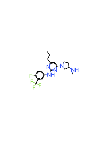 CCCc1cc(N2CCC(NC)C2)nc(Nc2ccc(F)c(C(F)(F)F)c2)n1